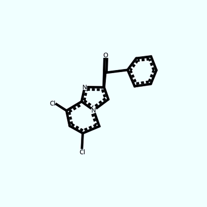 O=C(c1ccccc1)c1cn2cc(Cl)cc(Cl)c2n1